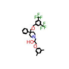 Cc1cc(C)cc(OCC(O)CN2CCC(COCc3cc(C(F)(F)F)cc(C(F)(F)F)c3)(c3ccccc3)CC2)c1